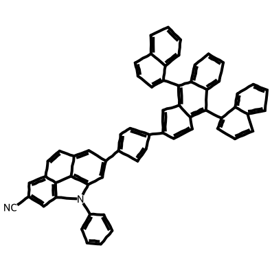 N#Cc1cc2ccc3cc(-c4ccc(-c5ccc6c(-c7cccc8ccccc78)c7ccccc7c(-c7cccc8ccccc78)c6c5)cc4)cc4c3c2c(c1)n4-c1ccccc1